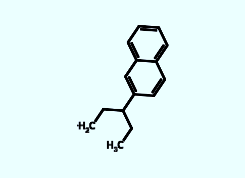 [CH2]CC(CC)c1ccc2ccccc2c1